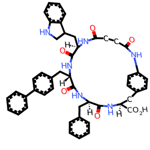 O=C1CCC(=O)N[C@H](CC2CNc3ccccc32)C(=O)N[C@@H](Cc2ccc(-c3ccccc3)cc2)C(=O)N[C@H](Cc2ccccc2)C(=O)N[C@H](C(=O)O)Cc2ccc(cc2)N1